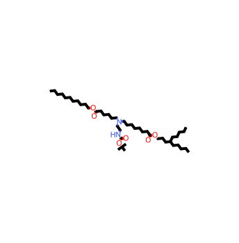 CCCCCCCCCCCOC(=O)CCCCCN(CCCCCCCC(=O)OCCCC(CCCCC)CCCCC)CCNC(=O)OC(C)(C)C